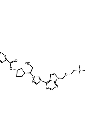 C[Si](C)(C)CCOCn1ccc2c(-c3cnn(C(CC#N)[C@H]4CC[C@H](OC(=O)c5ccccc5)C4)c3)ncnc21